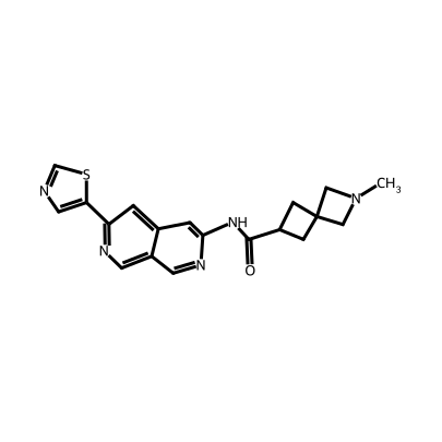 CN1CC2(CC(C(=O)Nc3cc4cc(-c5cncs5)ncc4cn3)C2)C1